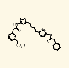 O=C(O)Cc1cccc(CC(=O)Nc2nnc(CCCCc3ccc(NC(=O)Cc4ccccc4)nn3)s2)c1